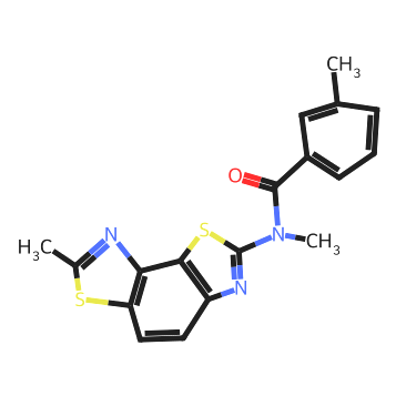 Cc1cccc(C(=O)N(C)c2nc3ccc4sc(C)nc4c3s2)c1